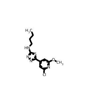 CCCCNc1nnc(-c2cc(Cl)nc(OC)c2)s1